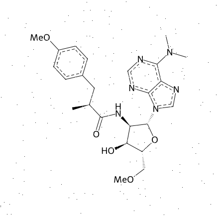 COC[C@H]1O[C@@H](n2cnc3c(N(C)C)ncnc32)[C@H](NC(=O)[C@@H](C)Cc2ccc(OC)cc2)[C@@H]1O